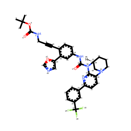 CC(C)(C)OC(=O)NCC#Cc1ccc(NC(=O)N2c3nc(-c4cccc(C(F)(F)F)c4)ccc3N3CCC[C@H]2C3)cc1-c1cnco1